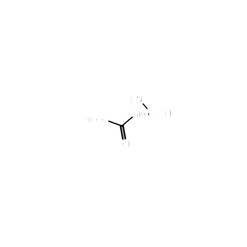 C=C(CCCC)C(=O)O.NC(=O)O